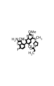 C=CC(=O)N1CC[C@@H](N(C)c2nc(OC)nc3c(F)c(-c4ccc(F)c5sc(N)c(C#N)c45)c(C(F)(F)F)cc23)C1